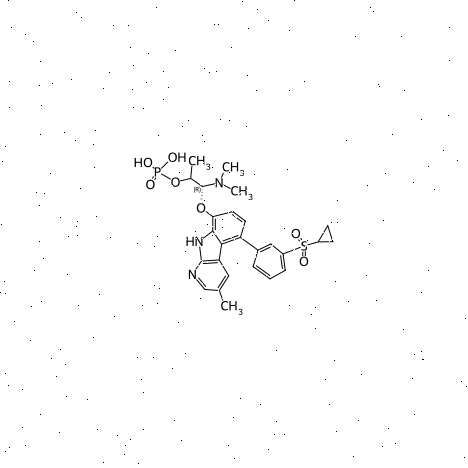 Cc1cnc2[nH]c3c(O[C@H](C(C)OP(=O)(O)O)N(C)C)ccc(-c4cccc(S(=O)(=O)C5CC5)c4)c3c2c1